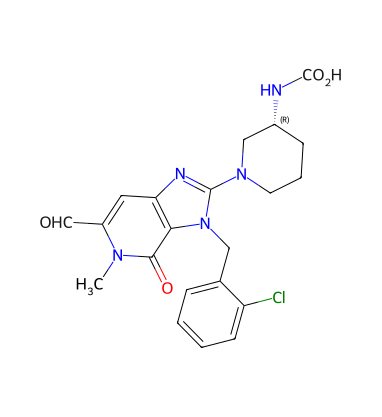 Cn1c(C=O)cc2nc(N3CCC[C@@H](NC(=O)O)C3)n(Cc3ccccc3Cl)c2c1=O